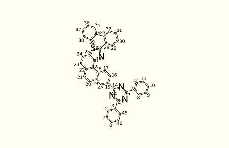 c1ccc(-c2nc(-c3ccccc3)nc(-c3ccc4c(ccc5ccc6sc(-c7ccccc7-c7ccccc7)nc6c54)c3)n2)cc1